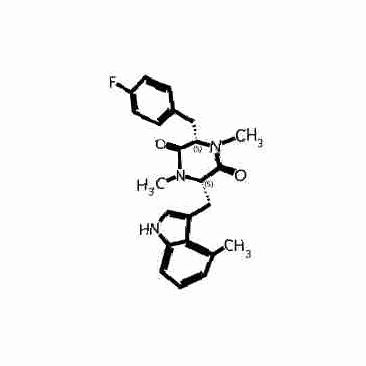 Cc1cccc2[nH]cc(C[C@H]3C(=O)N(C)[C@@H](Cc4ccc(F)cc4)C(=O)N3C)c12